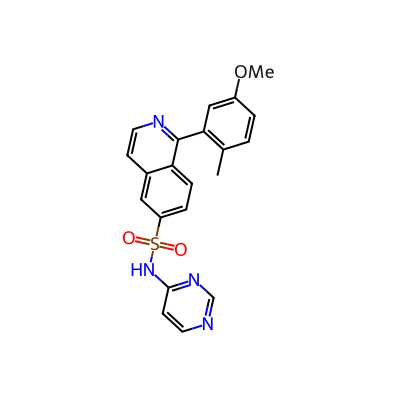 COc1ccc(C)c(-c2nccc3cc(S(=O)(=O)Nc4ccncn4)ccc23)c1